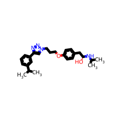 CC(C)N[C@H](O)Cc1ccc(OCCCn2cc(-c3cccc(C(C)C)c3)nn2)cc1